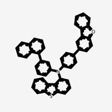 c1cc(-c2cccc3ccccc23)cc(N(c2ccc(-c3ccc4oc5ccccc5c4c3)cc2)c2cccc3sc4ccccc4c23)c1